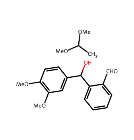 COC(C)OC.COc1ccc(C(O)c2ccccc2C=O)cc1OC